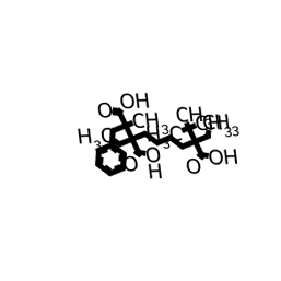 CCC(CCCCC(CC)(C(=O)O)C(C)(Cc1ccccc1)C(=O)O)(C(=O)O)C(C)(C)C